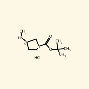 CN[C@@H]1CCN(C(=O)OC(C)(C)C)C1.Cl